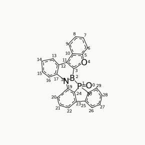 O=P12B3c4oc5ccccc5c4-c4ccccc4N3c3cccc(c31)-c1ccccc12